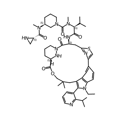 CCn1c(-c2cccnc2C(C)C)c2c3cc(ccc31)-c1csc(n1)C[C@H](NC(=O)[C@H](C(C)C)N(C)C(=O)N1CCC[C@H](N(C)C(=O)[C@@H]3CN3)C1)C(=O)N1CCC[C@H](N1)C(=O)OCC(C)(C)C2